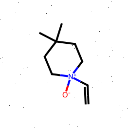 C=C[N+]1([O-])CCC(C)(C)CC1